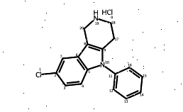 Cl.Clc1ccc2c(c1)c1c(n2-c2ccccc2)CCNC1